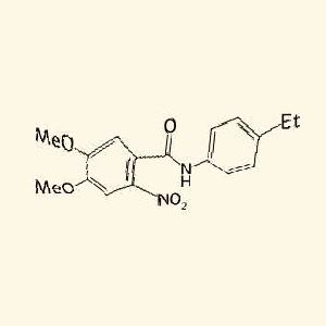 CCc1ccc(NC(=O)c2cc(OC)c(OC)cc2[N+](=O)[O-])cc1